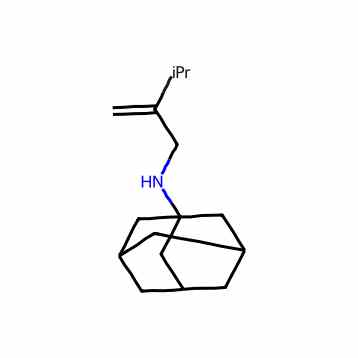 C=C(CNC12CC3CC(CC(C3)C1)C2)C(C)C